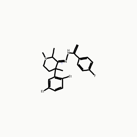 C=C(N/N=C1\C(C)N(C)CCC1(C)c1cc(CC)ccc1CC)c1ccc(F)cc1